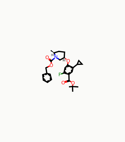 C[C@H]1CC[C@@H](Oc2cc(F)c(C(=O)OC(C)(C)C)cc2C2CC2)CN1C(=O)OCc1ccccc1